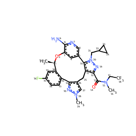 C[C@H]1Oc2cc(cnc2N)-c2c(c(C(=O)N(C)CC(F)(F)F)nn2CC2CC2)Cc2cn(C)nc2-c2ccc(F)cc21